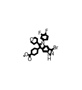 COC(=O)C1CCC(c2c(C3CCOCC3)n(-c3ccc(F)c(F)c3)c3cc4c(Br)n[nH]c4cc23)CC1